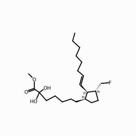 CCCCCCC=C[C@@H]1[C@H](CCCCCC(O)(O)C(=O)OC)CC[C@H]1CF